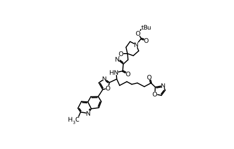 Cc1ccc2cc(-c3cnc(C(CCCCCC(=O)c4ncco4)NC(=O)C4=NOC5(CCN(C(=O)OC(C)(C)C)CC5)C4)o3)ccc2n1